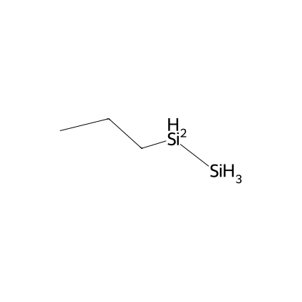 CCC[SiH2][SiH3]